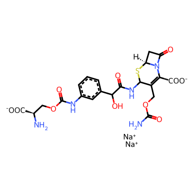 NC(=O)OCC1=C(C(=O)[O-])N2C(=O)C[C@@H]2SC1NC(=O)C(O)c1cccc(NC(=O)OC[C@@H](N)C(=O)[O-])c1.[Na+].[Na+]